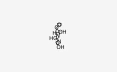 Oc1ccc(C(O)CN2C[C@@H]3C[C@@H](Oc4ccccc4)C[C@]3(O)C2)nc1